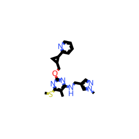 CSc1nc(OCC2CC2c2ccccn2)nc(NCc2cnn(C)c2)c1C